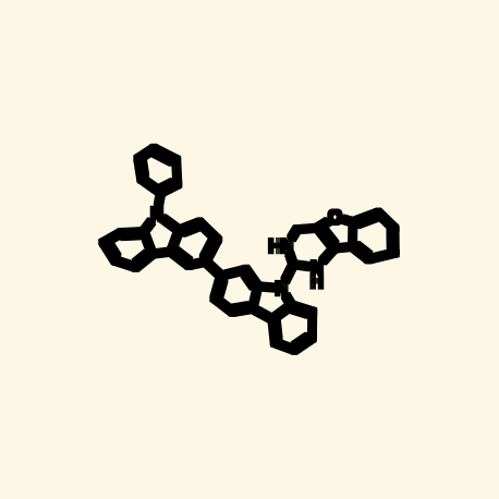 c1ccc(-n2c3ccccc3c3cc(-c4ccc5c6ccccc6n(C6NCc7oc8ccccc8c7N6)c5c4)ccc32)cc1